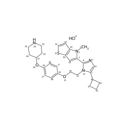 Cl.Cn1c(-c2ncc(C3CCC3)n2CCOc2ccc(OC3CCNCC3)cc2)cc2sccc21